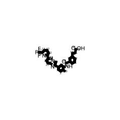 Cc1ccc(-c2cn3nc(-c4cccc(C(F)(F)F)n4)ccc3n2)cc1NC(=O)c1cccc(C=CC(=O)O)c1